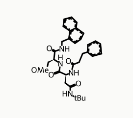 COC[C@H](NC(=O)[C@H](CC(=O)NC(C)(C)C)NC(=O)CCc1ccccc1)C(=O)NCc1cccc2ccccc12